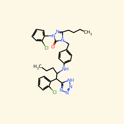 CCCCc1nn(-c2ccccc2Cl)c(=O)n1Cc1ccc(NC(CCC)C(c2nnn[nH]2)c2ccccc2Cl)cc1